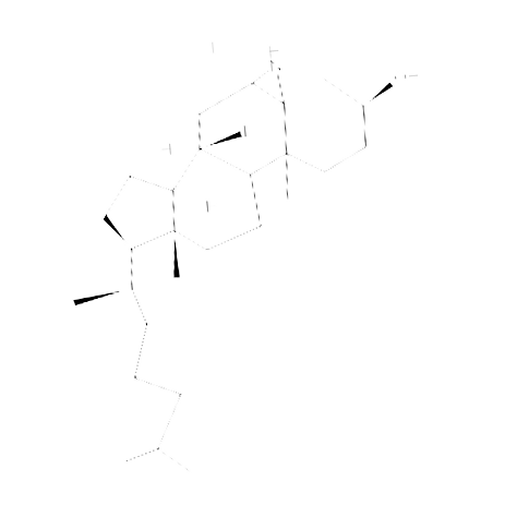 CC(C)CCC[C@@H](C)[C@H]1CC[C@H]2[C@@H]3C[C@H]4N[C@]45C[C@@H](O)CCC5(C)[C@H]3CC[C@]12C